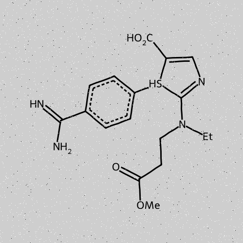 CCN(CCC(=O)OC)C1=NC=C(C(=O)O)[SH]1c1ccc(C(=N)N)cc1